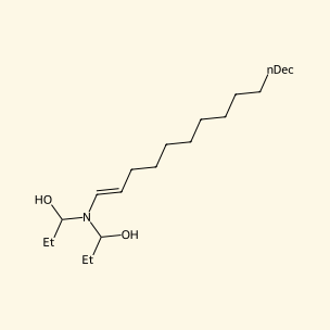 CCCCCCCCCCCCCCCCCCC=CN(C(O)CC)C(O)CC